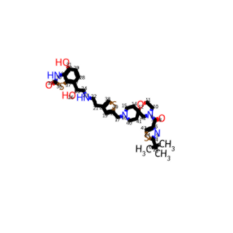 CC(C)(C)c1nc(C(=O)N2CCOC3(CCN(Cc4cc(CCNC[C@H](O)c5ccc(O)c6[nH]c(=O)sc56)cs4)CC3)C2)cs1